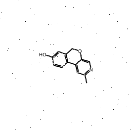 Cc1cc2c(cn1)OCc1cc(O)ccc1-2